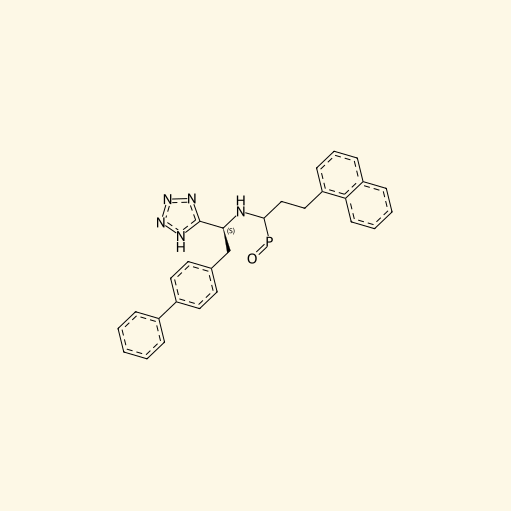 O=PC(CCc1cccc2ccccc12)N[C@@H](Cc1ccc(-c2ccccc2)cc1)c1nnn[nH]1